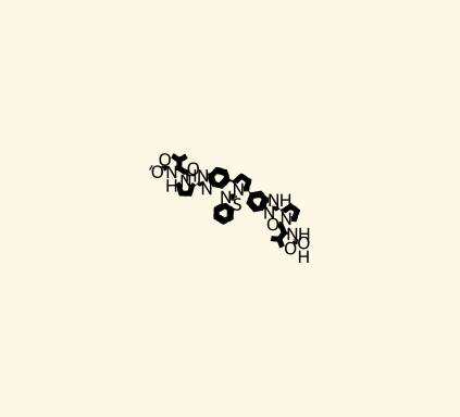 COC(=O)N[C@H](C(=O)N1CCC[C@H]1c1nc2cc([C@H]3CC[C@H](c4ccc5nc([C@@H]6CCCN6C(=O)[C@@H](NC(=O)O)C(C)C)[nH]c5c4)N3c3nc4ccccc4s3)ccc2[nH]1)C(C)C